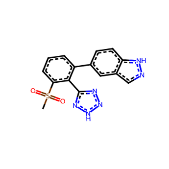 CS(=O)(=O)c1cccc(-c2ccc3[nH]ncc3c2)c1-c1nn[nH]n1